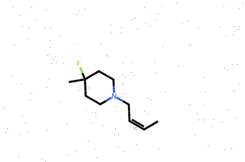 C/C=C\CN1CCC(C)(F)CC1